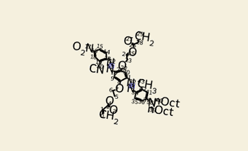 C=CC(=O)OCCOc1cc(/N=N/c2ccc([N+](=O)[O-])cc2C#N)c(OCCOC(=O)C=C)cc1/N=N/c1ccc(N(CCCCCCCC)CCCCCCCC)cc1C